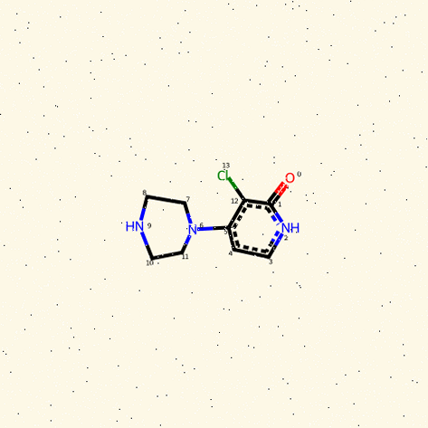 O=c1[nH]ccc(N2CCNCC2)c1Cl